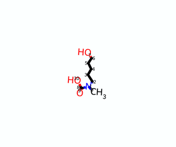 CN(CCCCCO)C(=O)O